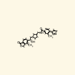 Cc1cc(C(=O)NCC2CCN(C[C@H](O)c3ccc4c(c3C)COC4=O)C2)ncc1-n1cnnn1